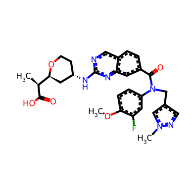 COc1ccc(N(Cc2cnn(C)c2)C(=O)c2ccc3cnc(N[C@H]4CCO[C@H]([C@H](C)C(=O)O)C4)nc3c2)cc1F